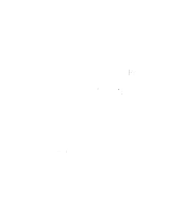 CC=C1CCN(Br)CC1